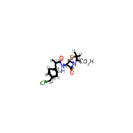 CC(C(=O)NC1C(=O)N2C1SC(C)(C)C2C(=O)O)c1ccc(CCl)cc1